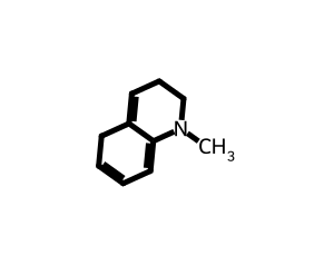 CN1CCC=C2CC=CC=C21